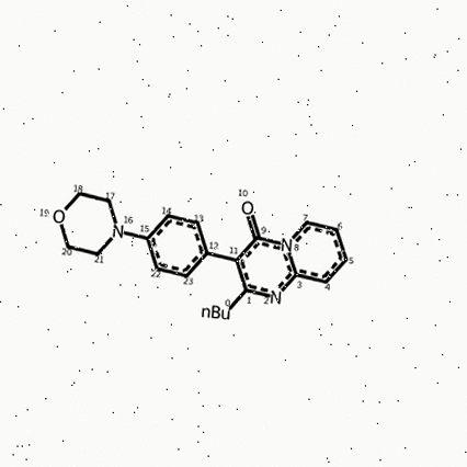 CCCCc1nc2ccccn2c(=O)c1-c1ccc(N2CCOCC2)cc1